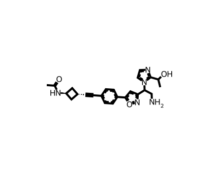 CC(=O)N[C@H]1C[C@H](C#Cc2ccc(-c3cc(C(CN)n4ccnc4C(C)O)no3)cc2)C1